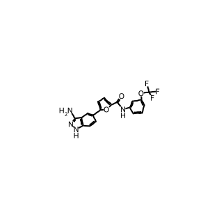 Nc1n[nH]c2ccc(-c3ccc(C(=O)Nc4cccc(OC(F)(F)F)c4)o3)cc12